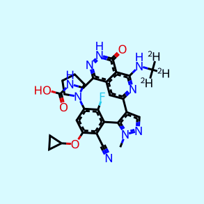 [2H]C([2H])([2H])Nc1nc(-c2cnn(C)c2-c2c(F)c(N3CCCC3)cc(OC3CC3)c2C#N)cc2c(CNC(=O)O)n[nH]c(=O)c12